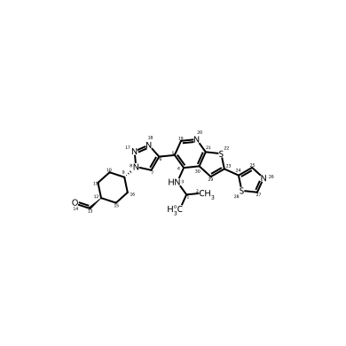 CC(C)Nc1c(-c2cn([C@H]3CC[C@H](C=O)CC3)nn2)cnc2sc(-c3cncs3)cc12